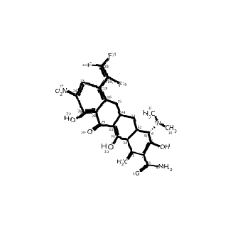 C=C1C(C(N)=O)=C(O)[C@@H](N(C)C)C2CC3Cc4c(C(F)=C(F)F)cc([N+](=O)[O-])c(O)c4C(=O)C3=C(O)C12